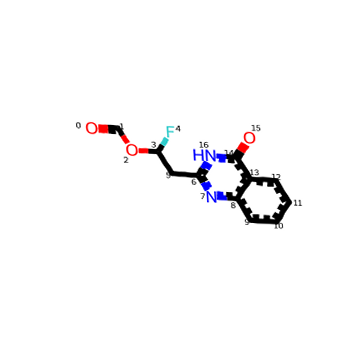 O=COC(F)Cc1nc2ccccc2c(=O)[nH]1